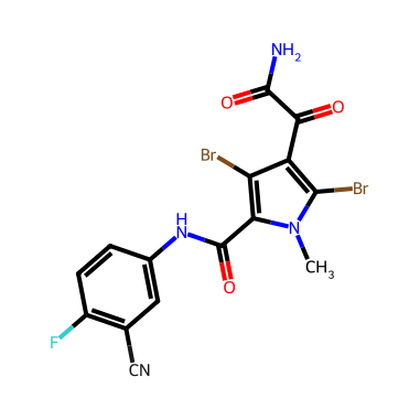 Cn1c(Br)c(C(=O)C(N)=O)c(Br)c1C(=O)Nc1ccc(F)c(C#N)c1